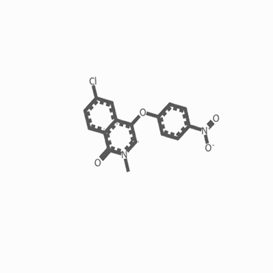 Cn1[c]c(Oc2ccc([N+](=O)[O-])cc2)c2cc(Cl)ccc2c1=O